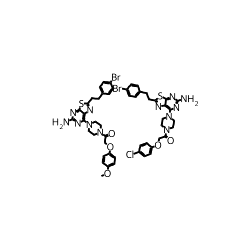 COc1ccc(OCC(=O)N2CCN(c3nc(N)nc4sc(CCc5ccc(Br)cc5)nc34)CC2)cc1.Nc1nc(N2CCN(C(=O)COc3ccc(Cl)cc3)CC2)c2nc(CCc3ccc(Br)cc3)sc2n1